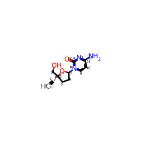 C#C[C@@]1(CO)CCC(n2ccc(N)nc2=O)O1